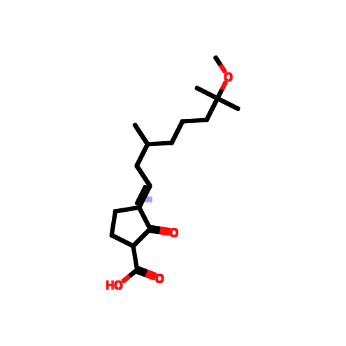 COC(C)(C)CCCC(C)C/C=C1\CCC(C(=O)O)C1=O